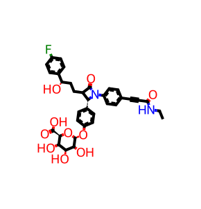 CCNC(=O)C#Cc1ccc(N2C(=O)C(CC[C@H](O)c3ccc(F)cc3)[C@H]2c2ccc(O[C@@H]3O[C@H](C(=O)O)C(O)[C@H](O)C3O)cc2)cc1